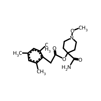 CON1CCC(OC(=O)Cc2c(C)cc(C)cc2C)(C(N)=O)CC1